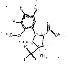 [2H]c1cc([C@H]2[C@H](C(=O)O)O[C@@](C)(C(F)(F)F)[C@H]2C)c(OC)c(F)c1F